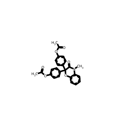 CC(=O)Oc1ccc(C2(c3ccc(OC(C)=O)cc3)Oc3ccccc3N(C)C2=O)cc1